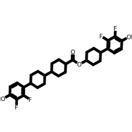 O=C(OC1CCC(c2ccc(O)c(F)c2F)CC1)C1CCC(C2CCC(c3ccc(O)c(F)c3F)CC2)CC1